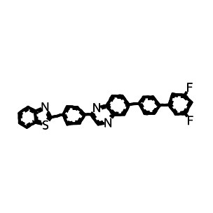 Fc1cc(F)cc(-c2ccc(-c3ccc4nc(-c5ccc(-c6nc7ccccc7s6)cc5)cnc4c3)cc2)c1